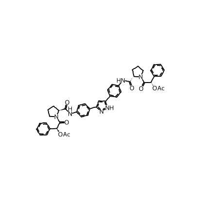 CC(=O)O[C@H](C(=O)N1CCC[C@H]1C(=O)Nc1ccc(-c2cc(-c3ccc(NC(=O)[C@@H]4CCCN4C(=O)[C@@H](OC(C)=O)c4ccccc4)cc3)[nH]n2)cc1)c1ccccc1